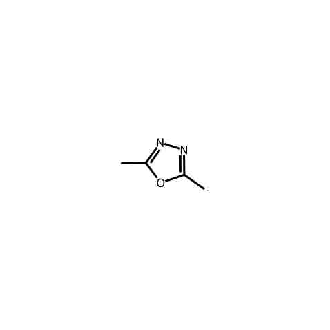 [CH]c1nnc(C)o1